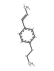 C/C=[C]/c1ccc(CCC)cc1